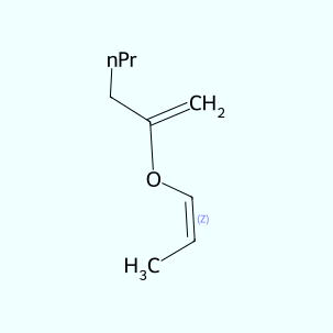 C=C(CCCC)O/C=C\C